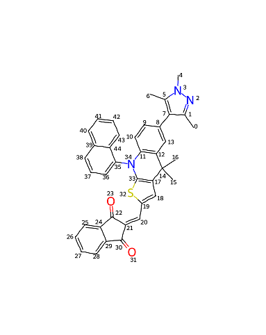 Cc1nn(C)c(C)c1-c1ccc2c(c1)C(C)(C)c1cc(C=C3C(=O)c4ccccc4C3=O)sc1N2c1cccc2ccccc12